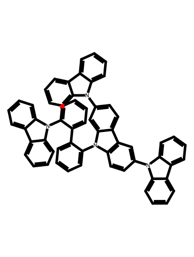 c1ccc(-n2c3ccccc3c3ccccc32)c(-c2ccccc2-n2c3ccc(-n4c5ccccc5c5ccccc54)cc3c3ccc(-n4c5ccccc5c5ccccc54)cc32)c1